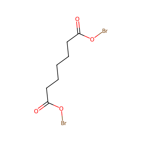 O=C(CCCCCC(=O)OBr)OBr